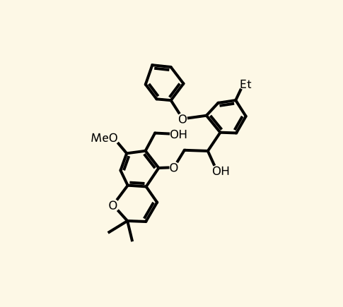 CCc1ccc(C(O)COc2c3c(cc(OC)c2CO)OC(C)(C)C=C3)c(Oc2ccccc2)c1